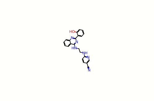 N#Cc1ccc(NCCNc2nc(-c3ccccc3O)nc3ccccc23)nc1